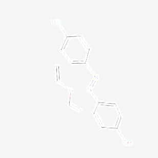 C=COC=C.Oc1ccc(N=Nc2ccc(O)cc2)cc1